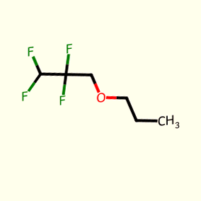 CCCOCC(F)(F)C(F)F